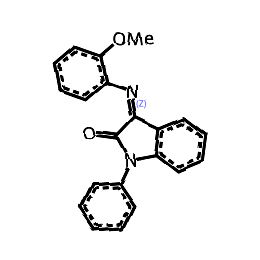 COc1ccccc1/N=C1\C(=O)N(c2ccccc2)c2ccccc21